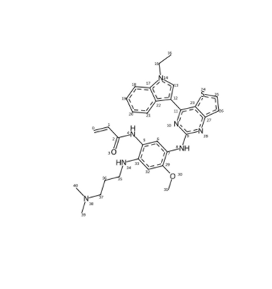 C=CC(=O)Nc1cc(Nc2nc(-c3cn(CC)c4ccccc34)c3sccc3n2)c(OC)cc1NCCCN(C)C